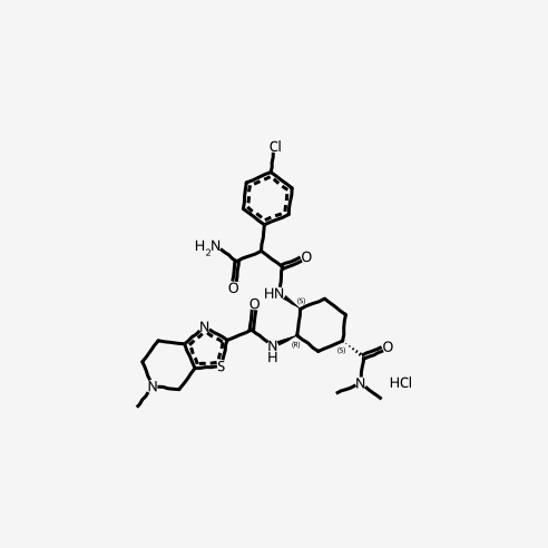 CN1CCc2nc(C(=O)N[C@@H]3C[C@@H](C(=O)N(C)C)CC[C@@H]3NC(=O)C(C(N)=O)c3ccc(Cl)cc3)sc2C1.Cl